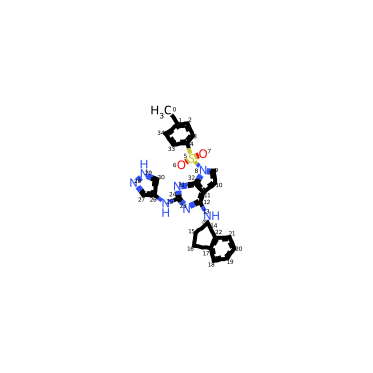 Cc1ccc(S(=O)(=O)n2ccc3c(N[C@H]4CCc5ccccc54)nc(Nc4cn[nH]c4)nc32)cc1